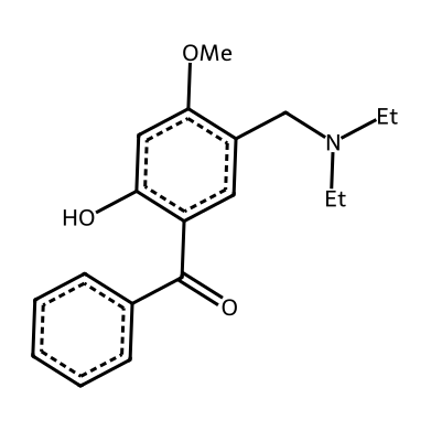 CCN(CC)Cc1cc(C(=O)c2ccccc2)c(O)cc1OC